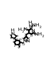 Cc1ccc(C2CCNC2)cc1Cn1cc(Cc2cc(N)nc(NN)c2N)cn1